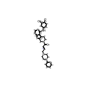 O=C(/C=C/CN1CCN(c2ccccn2)CC1)N1CCc2c(sc3ncnc(Nc4ccc(Cl)c(Cl)c4)c23)C1